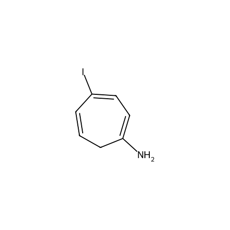 NC1=CC=C(I)C=CC1